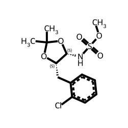 COS(=O)(=O)N[C@H]1OC(C)(C)O[C@H]1Cc1ccccc1Cl